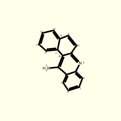 Nc1c2ccccc2nc2ccc3ccccc3c12